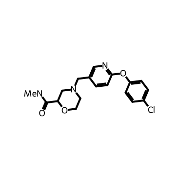 CNC(=O)C1CN(Cc2ccc(Oc3ccc(Cl)cc3)nc2)CCO1